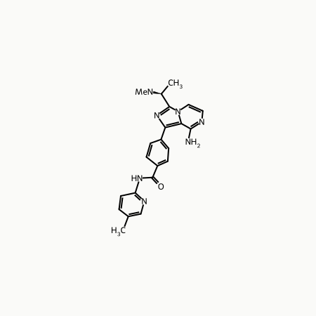 CN[C@@H](C)c1nc(-c2ccc(C(=O)Nc3ccc(C)cn3)cc2)c2c(N)nccn12